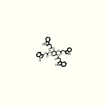 O=C(Cc1c[nH]c2ccccc12)O[C@@H]1[C@@H](OC(=O)Cc2c[nH]c3ccccc23)[C@@H](OC(=O)Oc2c[nH]c3ccccc23)OC[C@@H]1OC(=O)Cc1c[nH]c2ccccc12